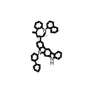 C=C1/C=C(c2ccc3c(c2)c2cc4c(cc2n3-c2cccc(-c3ccccc3)c2)[nH]c2ccccc24)\C=C/N(c2cccc3ccccc23)c2ccccc21